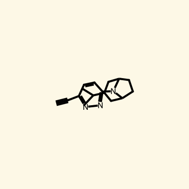 C#Cc1ccc(N2C3CCC2CC(C(C)C)C3)nn1